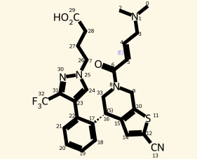 CN(C)C/C=C/C(=O)N1Cc2sc(C#N)cc2[C@H](c2ccccc2-c2cn(CCCC(=O)O)nc2C(F)(F)F)C1